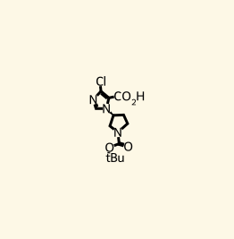 CC(C)(C)OC(=O)N1CC[C@H](n2cnc(Cl)c2C(=O)O)C1